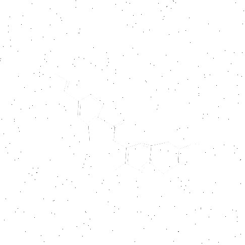 Cc1cc(C=CC(F)(F)F)ccc1C(=O)Nc1cc2c(nc1O)CCC(O)C2